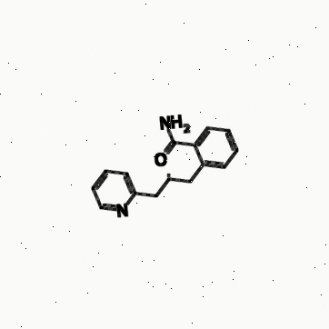 NC(=O)c1ccccc1C[CH]Cc1ccccn1